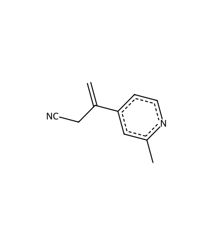 C=C(CC#N)c1ccnc(C)c1